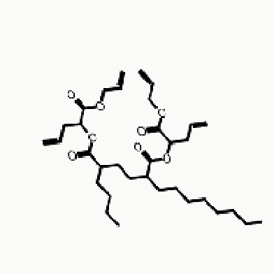 C=CCOC(=O)C(CC=C)OC(=O)C(CCCC)CCC(CCCCCCCC)C(=O)OC(CC=C)C(=O)OCC=C